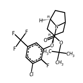 CC(C)(C)OC(=O)N1C2CC[C@@H]1C[C@H](Oc1cc(C(F)(F)F)cc(Cl)c1F)C2